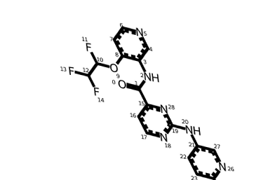 O=C(Nc1cnccc1OC(F)C(F)F)c1ccnc(Nc2ccc(F)nc2)n1